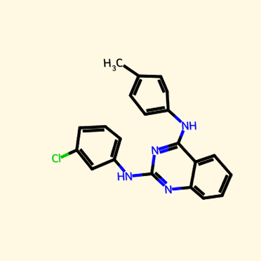 Cc1ccc(Nc2nc(Nc3cccc(Cl)c3)nc3ccccc23)cc1